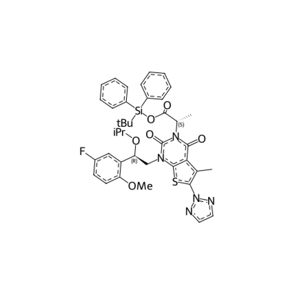 COc1ccc(F)cc1[C@H](Cn1c(=O)n([C@@H](C)C(=O)O[Si](c2ccccc2)(c2ccccc2)C(C)(C)C)c(=O)c2c(C)c(-n3nccn3)sc21)OC(C)C